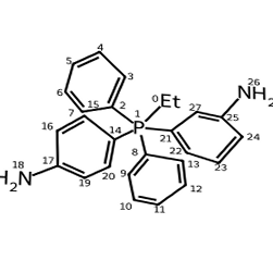 CCP(c1ccccc1)(c1ccccc1)(c1ccc(N)cc1)c1cccc(N)c1